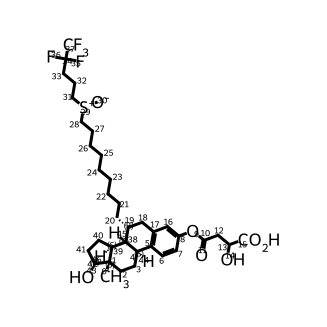 C[C@]12CC[C@@H]3c4ccc(OC(=O)CC(O)C(=O)O)cc4C[C@@H](CCCCCCCCC[S+]([O-])CCCC(F)(F)C(F)(F)F)[C@H]3[C@@H]1CC[C@@H]2O